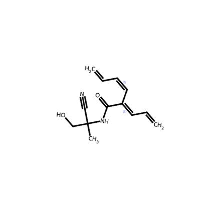 C=C/C=C\C(=C/C=C)C(=O)NC(C)(C#N)CO